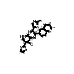 Cc1ncc(-c2nc3[nH]cc(-c4nccs4)c(=O)c3nc2-c2ccc3ncccc3c2)s1